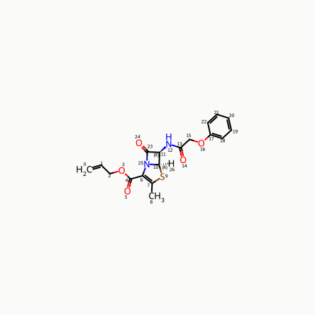 C=CCOC(=O)C1=C(C)S[C@@H]2[C@H](NC(=O)COc3ccccc3)C(=O)N12